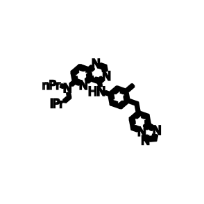 CCCN(CC(C)C)c1ccc2ncnc(Nc3ccc(Cc4ccn5ncnc5c4)c(C)c3)c2n1